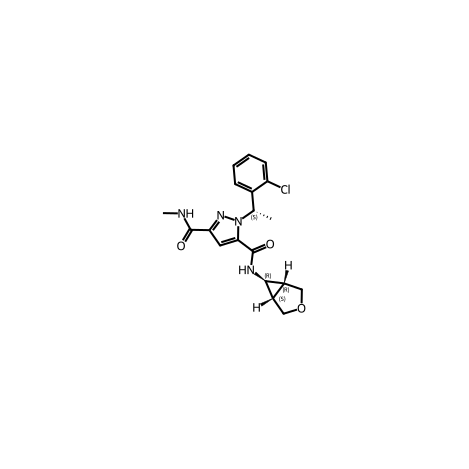 CNC(=O)c1cc(C(=O)N[C@H]2[C@@H]3COC[C@@H]32)n([C@@H](C)c2ccccc2Cl)n1